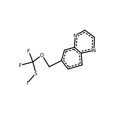 FC(F)(OCc1ccc2nccnc2c1)SI